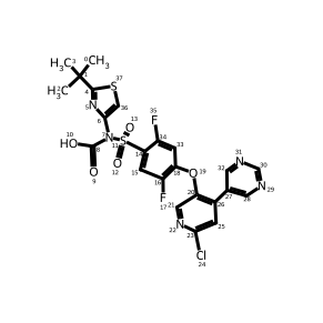 CC(C)(C)c1nc(N(C(=O)O)S(=O)(=O)c2cc(F)c(Oc3cnc(Cl)cc3-c3cncnc3)cc2F)cs1